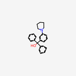 OC(c1ccccc1)(c1ccccc1)c1cc[c]c(N2CCCCC2)c1